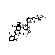 COc1cc([C@@]23CC[C@@H](c4cc(-c5c(F)cccc5F)nnc42)C3(C)C)nc(N2C=CN(CCS(C)(=O)=O)N2)n1